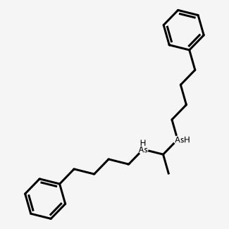 CC([AsH]CCCCc1ccccc1)[AsH]CCCCc1ccccc1